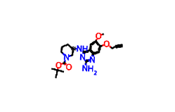 C#CCOc1cc2nc(N)nc(N[C@@H]3CCCN(C(=O)OC(C)(C)C)C3)c2cc1OC